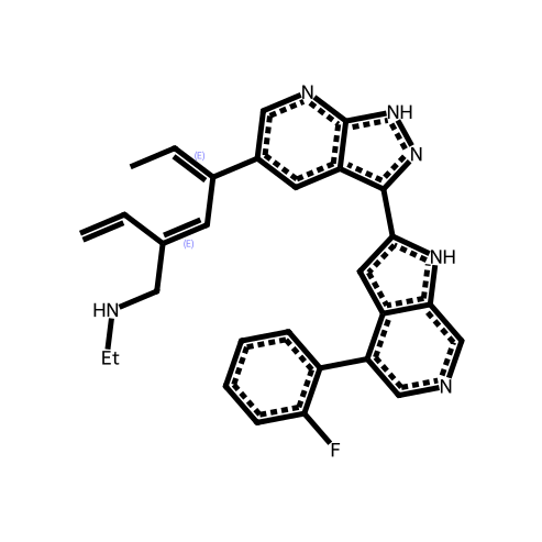 C=C/C(=C\C(=C/C)c1cnc2[nH]nc(-c3cc4c(-c5ccccc5F)cncc4[nH]3)c2c1)CNCC